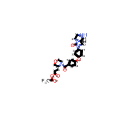 O=C(CC[C@H]1COCCN1C(=O)c1ccc(Oc2ccc(N3C[C@@H]4CNCCN4C3=O)cc2)cc1)OC(=O)C(F)(F)F